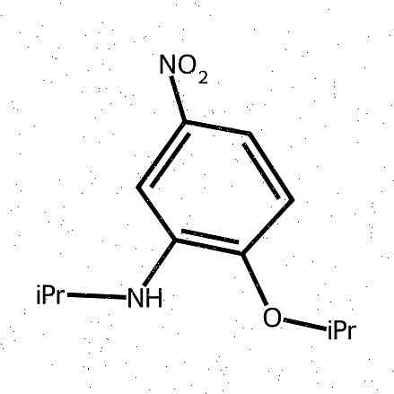 CC(C)Nc1cc([N+](=O)[O-])ccc1OC(C)C